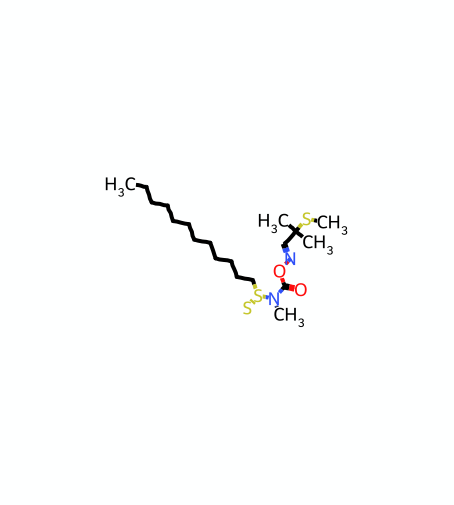 CCCCCCCCCCCCS(=S)N(C)C(=O)ON=CC(C)(C)SC